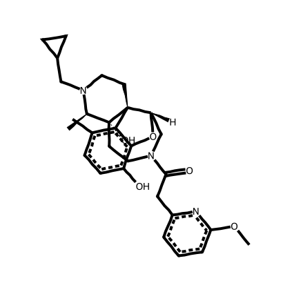 COc1cccc(CC(=O)N2CC[C@@]3(O)[C@@H](C)N(CC4CC4)CC[C@@]34c3c(C)ccc(O)c3O[C@H]4C2)n1